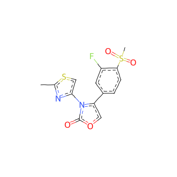 Cc1nc(-n2c(-c3ccc(S(C)(=O)=O)c(F)c3)coc2=O)cs1